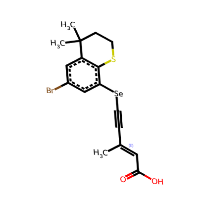 C/C(C#C[Se]c1cc(Br)cc2c1SCCC2(C)C)=C\C(=O)O